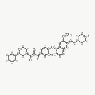 COc1cc2c(Oc3ccc(NC(=O)C(=O)N4CCOC(c5ccccc5)C4)cc3F)ccnc2cc1OCC1CCNCC1